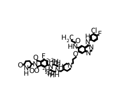 [2H]C1([2H])N(CC2CCN(CCCOc3cc4ncnc(Nc5ccc(F)c(Cl)c5)c4cc3NC(=O)C=C)CC2)C([2H])([2H])C([2H])([2H])N(c2cc(F)c3c(c2)C(=O)N(C2CCC(=O)NC2=O)C3=O)C1([2H])[2H]